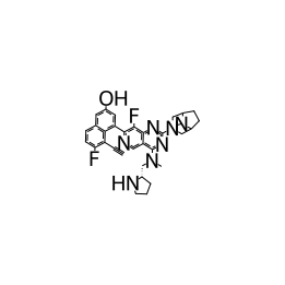 C#Cc1c(F)ccc2cc(O)cc(-c3ncc4c(N(C)C[C@@H]5CCCN5)nc(N5CC6CCC(C5)N6C)nc4c3F)c12